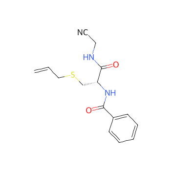 C=CCSC[C@@H](NC(=O)c1ccccc1)C(=O)NCC#N